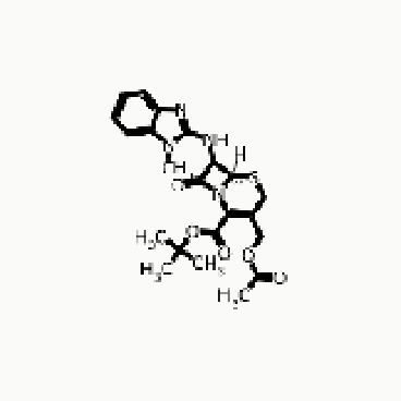 CC(=O)OCC1=C(C(=O)OC(C)(C)C)N2C(=O)C(Nc3nc4ccccc4n3C)[C@H]2SC1